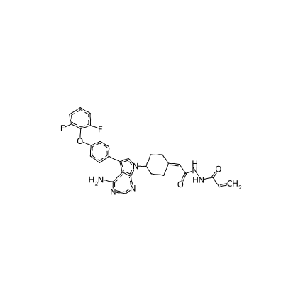 C=CC(=O)NNC(=O)C=C1CCC(n2cc(-c3ccc(Oc4c(F)cccc4F)cc3)c3c(N)ncnc32)CC1